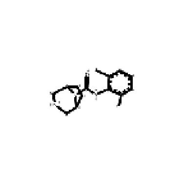 Cc1cccc(C)c1NC(=O)N1C2CCC1CNC2